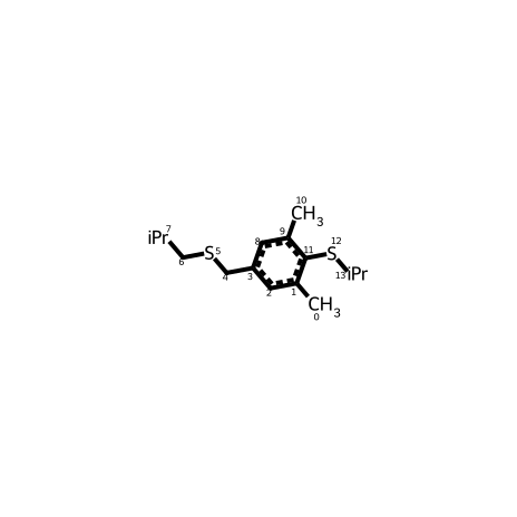 Cc1cc(CSCC(C)C)cc(C)c1SC(C)C